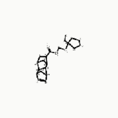 CCC1(OCOC(=O)C2CC3CC2C2C4C=CC(C4)C32)CCCC1